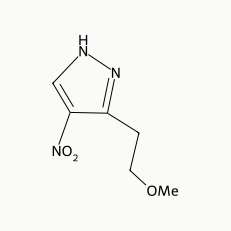 COCCc1n[nH]cc1[N+](=O)[O-]